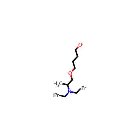 CC(C)CN(CC(C)C)C(C)COCCCC[O]